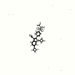 CC(C)NS(=O)(=O)c1ccc(-c2c(C#N)c3ccc(C4CCC4)cc3n2C2CCC2)nc1